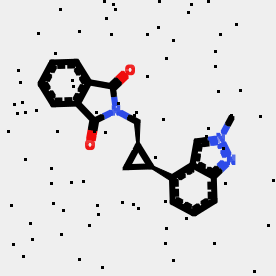 Cn1cc2c([C@H]3C[C@H]3CN3C(=O)c4ccccc4C3=O)cccc2n1